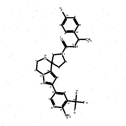 CC(NC(=O)N1CCC2(C1)OCCn1nc(-c3cnc(N)c(C(F)(F)F)c3)cc12)c1ccc(F)cc1